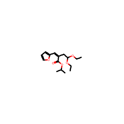 CCOC(CC(=Cc1ccco1)C(=O)OC(C)C)OCC